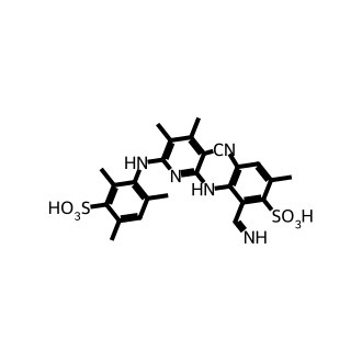 Cc1cc(C)c(S(=O)(=O)O)c(C)c1Nc1nc(Nc2c(C)cc(C)c(S(=O)(=O)O)c2C=N)c(C#N)c(C)c1C